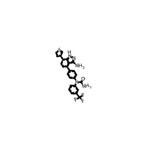 NC(=O)N(c1ccc(-c2ccc(-c3ccsc3)c3[nH]nc(N)c23)cc1)c1cccc(C(F)(F)F)c1